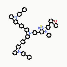 C1=CC(c2ccc3c4ccccc4n(-c4ccc(-c5ccccc5)cc4)c3c2)CC=C1c1ccc2c(c1)c1cc(-c3ccc(-c4ccc5c6ccccc6n(-c6ccc(-c7ccccc7)cc6)c5c4)cc3)ccc1n2-c1ccc(-c2ccc(N(c3ccccc3)c3ccc(-c4cccc5oc6ccccc6c45)cc3)c3nsnc23)cc1